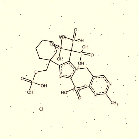 Cc1ncc(C[n+]2c(P(=O)(O)O)sc(C3(COP(=O)(O)O)CCCCC3)c2C(P(=O)(O)O)(P(=O)(O)O)P(=O)(O)O)c(N)n1.[Cl-]